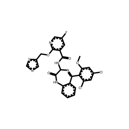 COc1cc(Cl)cc(Cl)c1C1=NC(NC(=O)c2cc(F)cnc2OCc2cncs2)C(=O)Nc2ccccc21